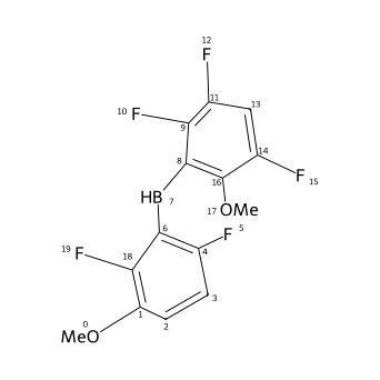 COc1ccc(F)c(Bc2c(F)c(F)cc(F)c2OC)c1F